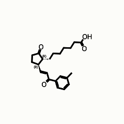 Cc1cccc(C(=O)C=C[C@H]2CCC(=O)[C@@H]2CCCCCCC(=O)O)c1